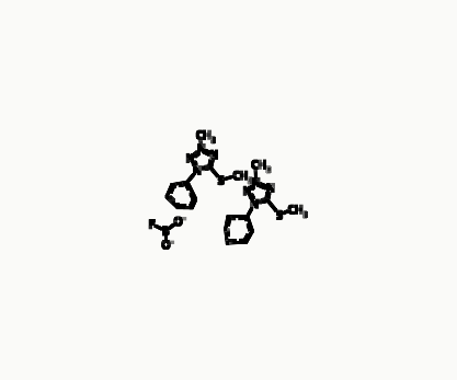 CSc1nn(C)n[n+]1-c1ccccc1.CSc1nn(C)n[n+]1-c1ccccc1.[O-]B([O-])F